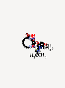 COc1ccc2c(OC3CC4C(=O)NCCCCCC=CCCC(C(=O)O)NC(=O)C4C3)cc(-c3nc(C(C)C)cs3)nc2c1C